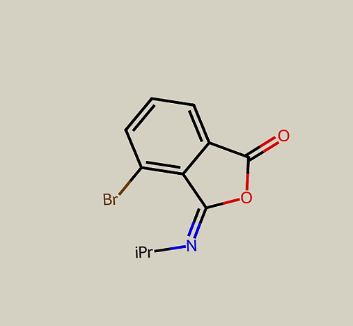 CC(C)/N=C1/OC(=O)c2cccc(Br)c21